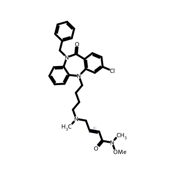 CON(C)C(=O)/C=C/CN(C)CCCCN1c2cc(Cl)ccc2C(=O)N(Cc2ccccc2)c2ccccc21